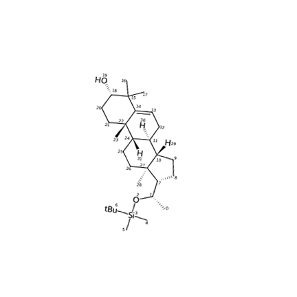 C[C@H](O[Si](C)(C)C(C)(C)C)[C@H]1CC[C@H]2[C@@H]3CC=C4C(C)(C)[C@@H](O)CC[C@@]4(C)[C@H]3CC[C@]12C